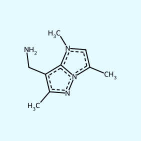 Cc1nn2c(C)cn(C)c2c1CN